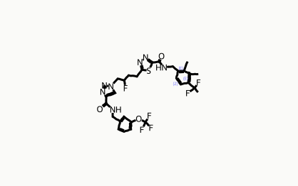 C\C=C(/C=C\C(CNC(=O)c1nnc(CCC(F)Cn2cc(C(=O)NCc3cccc(OC(F)(F)F)c3)nn2)s1)=C(\C)CC)C(C)(F)F